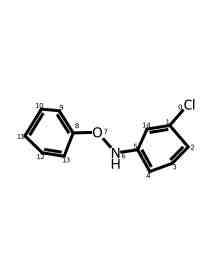 Clc1cccc(NOc2ccccc2)c1